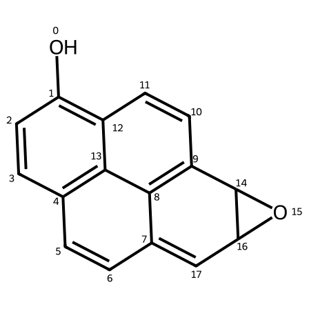 Oc1ccc2ccc3c4c(ccc1c24)C1OC1C=3